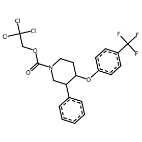 O=C(OCC(Cl)(Cl)Cl)N1CCC(Oc2ccc(C(F)(F)F)cc2)C(c2ccccc2)C1